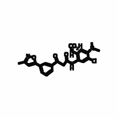 Cc1cc(-c2cccc(C(=O)CC(=O)Nc3cc(Cl)c(N(C)C)cc3NC(=O)O)c2)on1